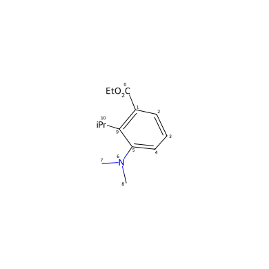 CCOC(=O)c1cccc(N(C)C)c1C(C)C